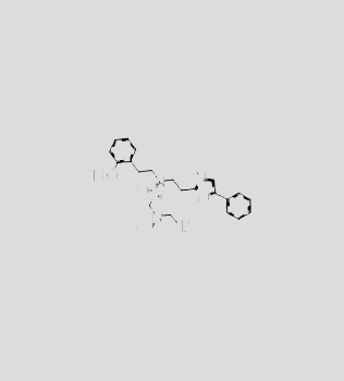 CCC(C)CN(CS(=O)(=O)N(CCc1ncc(-c2ccccc2)o1)CCc1ccccc1O)C(=O)O